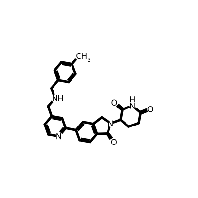 Cc1ccc(CNCc2ccnc(-c3ccc4c(c3)CN(C3CCC(=O)NC3=O)C4=O)c2)cc1